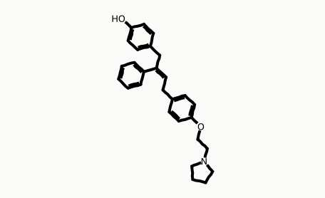 Oc1ccc(CC(=CCc2ccc(OCCN3CCCC3)cc2)c2ccccc2)cc1